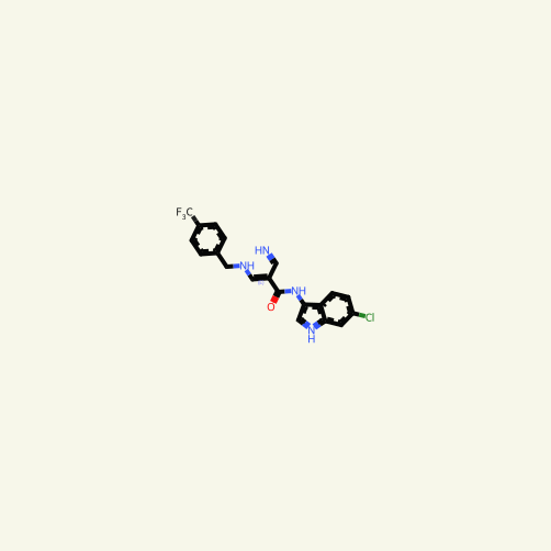 N=C/C(=C\NCc1ccc(C(F)(F)F)cc1)C(=O)Nc1c[nH]c2cc(Cl)ccc12